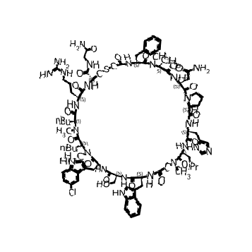 CCCC[C@H]1C(=O)N(C)[C@@H](CCCC)C(=O)N[C@@H](CCCNC(=N)N)C(=O)N[C@H](C(=O)NCC(N)=O)CSCC(=O)N[C@@H](Cc2ccccc2)C(=O)N(C)[C@@H](C)C(=O)N[C@@H](CC(N)=O)C(=O)N2CCC[C@H]2C(=O)N[C@@H](Cc2cnc[nH]2)C(=O)N[C@@H](CC(C)C)C(=O)N(C)CC(=O)N[C@@H](Cc2c[nH]c3ccccc23)C(=O)N[C@@H](CO)C(=O)N[C@@H](Cc2c[nH]c3ccc(Cl)cc23)C(=O)N1C